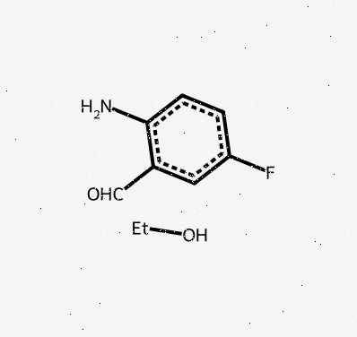 CCO.Nc1ccc(F)cc1C=O